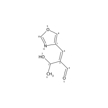 CC(O)/C(C=O)=C\c1cocn1